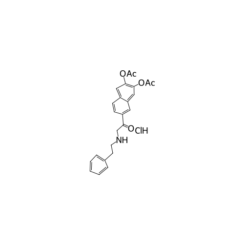 CC(=O)Oc1cc2ccc(C(=O)CNCCc3ccccc3)cc2cc1OC(C)=O.Cl